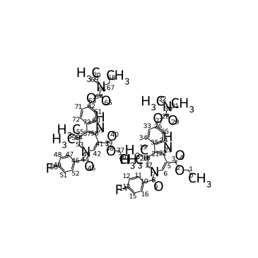 CCOC(=O)C1=CN(C(=O)c2ccc(F)cc2)CC(C)(C)c2c1[nH]c1cc(OC(=O)N(C)C)ccc21.CCOC(=O)C1=CN(C(=O)c2ccc(F)cc2)CC(C)(C)c2c1[nH]c1cc(OC(=O)N(CC)CC)ccc21